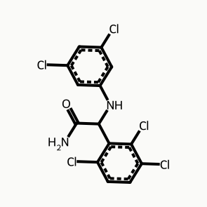 NC(=O)C(Nc1cc(Cl)cc(Cl)c1)c1c(Cl)ccc(Cl)c1Cl